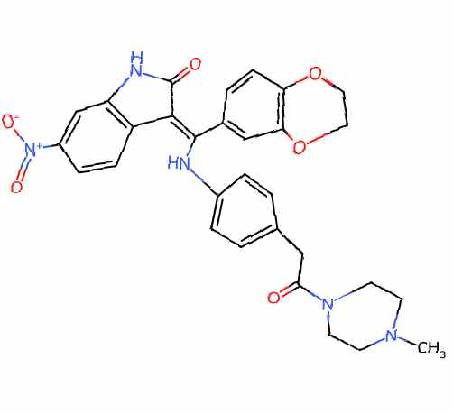 CN1CCN(C(=O)Cc2ccc(NC(=C3C(=O)Nc4cc([N+](=O)[O-])ccc43)c3ccc4c(c3)OCCO4)cc2)CC1